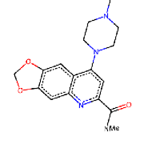 CNC(=O)c1cc(N2CCN(C)CC2)c2cc3c(cc2n1)OCO3